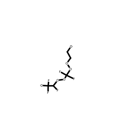 [O]CCOOC(F)(F)OOC(F)C([O])(F)F